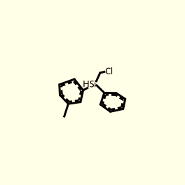 Cc1cccc([SiH](CCl)c2ccccc2)c1